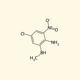 CBc1cc(Cl)cc([N+](=O)[O-])c1N